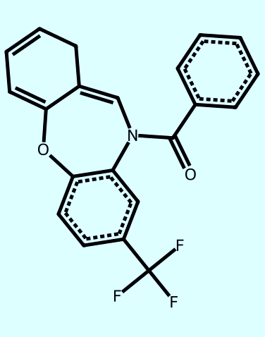 O=C(c1ccccc1)N1C=C2CC=CC=C2Oc2ccc(C(F)(F)F)cc21